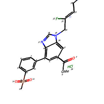 COC(=O)c1cc(-c2cccc(S(C)(=O)=O)c2)c2ncn(C/C(F)=C/CN)c2c1.Cl